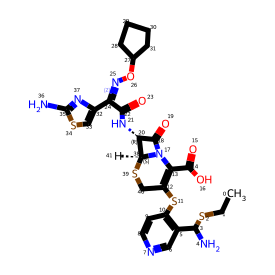 CCSC(N)c1cnccc1SC1=C(C(=O)O)N2C(=O)[C@@H](NC(=O)/C(=N\OC3CCCC3)c3csc(N)n3)[C@@H]2SC1